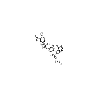 CCOC(=O)c1cn2ncnc(N)c2c1-c1ccc(NC(=O)Nc2ccc(Cl)c(C(F)(F)F)c2)cc1